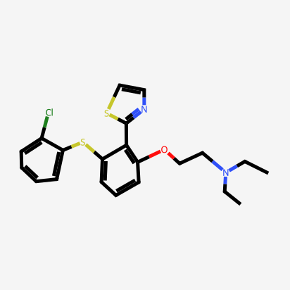 CCN(CC)CCOc1cccc(Sc2ccccc2Cl)c1-c1nccs1